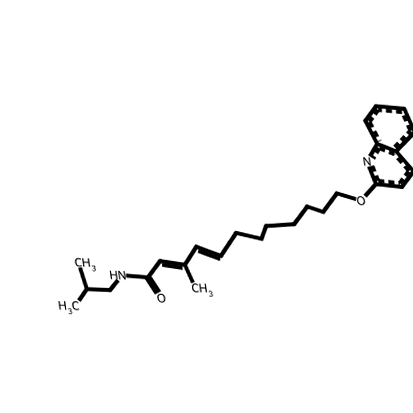 CC(/C=C/CCCCCCCOc1ccc2ccccc2n1)=C\C(=O)NCC(C)C